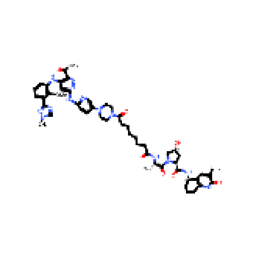 CNC(=O)c1nnc(Nc2ccc(N3CCN(C(=O)CCCCCCC(=O)N[C@H](C(=O)N4C[C@H](O)C[C@H]4C(=O)N[C@H]4CCCc5[nH]c(=O)c(C)cc54)C(C)(C)C)CC3)cn2)cc1Nc1cccc(-c2ncn(C)n2)c1OC